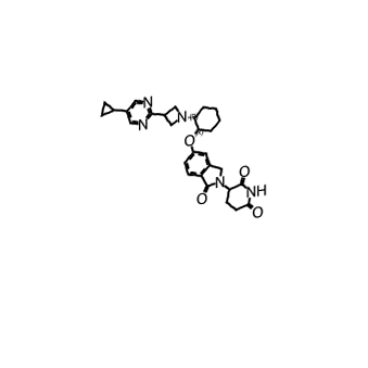 O=C1CCC(N2Cc3cc(O[C@@H]4CCCC[C@H]4N4CC(c5ncc(C6CC6)cn5)C4)ccc3C2=O)C(=O)N1